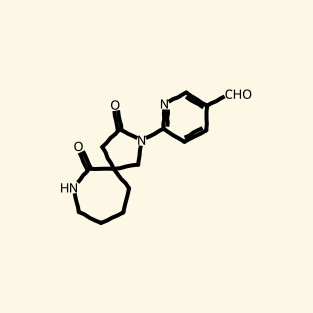 O=Cc1ccc(N2CC3(CCCCNC3=O)CC2=O)nc1